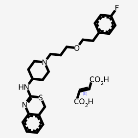 Fc1ccc(CCOCCCN2CCC(NC3=Nc4ccccc4CS3)CC2)cc1.O=C(O)/C=C/C(=O)O